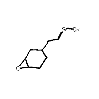 OSCCC1CCC2OC2C1